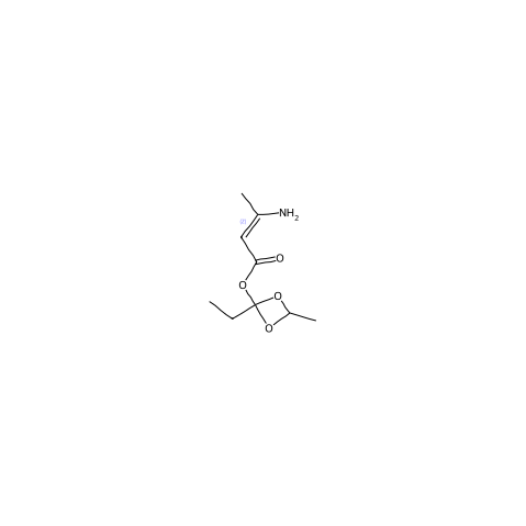 CCC1(OC(=O)/C=C(/C)N)OC(C)O1